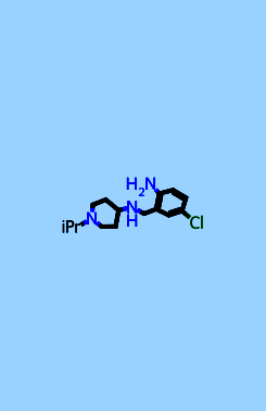 CC(C)N1CCC(NCc2cc(Cl)ccc2N)CC1